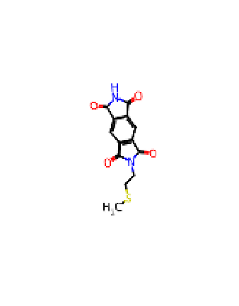 CSCCn1c(=O)c2cc3c(=O)[nH]c(=O)c3cc2c1=O